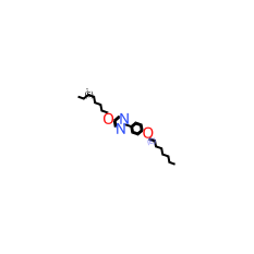 CCCCCC/C=C/Oc1ccc(-c2ncc(OCCCCC[C@@H](C)CC)cn2)cc1